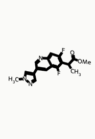 COC(=O)C(C)c1c(F)cc2ncc(-c3cnn(C)c3)cc2c1F